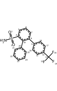 NS(=O)(=O)c1cccc(-c2ccc(C(F)(F)F)cc2)c1-c1ccccc1